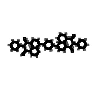 O=C1c2cccc3c(-c4ccc(-c5ccc6c7c(cccc57)C(=O)N(c5ccccc5)C6=O)cc4)ccc(c23)C(=O)N1c1ccccc1